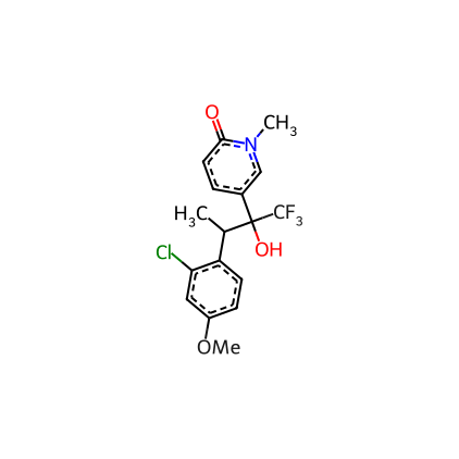 COc1ccc(C(C)C(O)(c2ccc(=O)n(C)c2)C(F)(F)F)c(Cl)c1